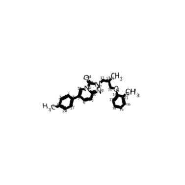 Cc1ccc(-c2ccc3nn(CC(C)COc4ccccc4C)c(=O)n3c2)cc1